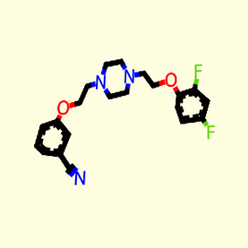 N#Cc1cccc(OCCN2CCN(CCOc3ccc(F)cc3F)CC2)c1